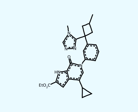 CCOC(=O)c1cc2c(C3CC3)cn(-c3cccc(C4(c5nncn5C)CC(C)C4)c3)c(=O)c2[nH]1